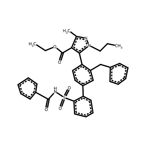 CCCn1nc(C)c(C(=O)OCC)c1-c1ccc(-c2ccccc2S(=O)(=O)NC(=O)c2ccccc2)cc1Cc1ccccc1